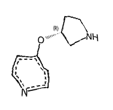 c1cc(O[C@@H]2CCNC2)ccn1